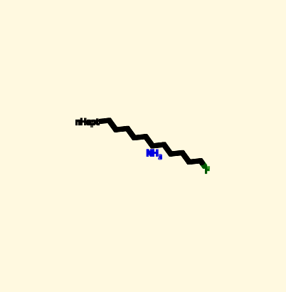 CCCCCCCCCCCCCCCCCCF.N